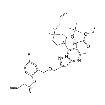 C=CCOC1(C)CCN(c2c([C@H](OC(C)(C)C)C(=O)OCC)c(C)nc3cc(COCc4cc(F)ccc4O[C@@H](C)CC=C)nn23)CC1